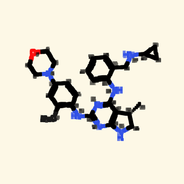 COc1cc(N2CCOCC2)ccc1Nc1nc2c(c(Nc3ccccc3CNC3CC3)n1)[C@H](C)CN2